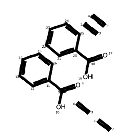 C=C.C=C.C=C.C=C.O=C(O)c1ccccc1.O=C(O)c1ccccc1